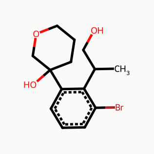 CC(CO)c1c(Br)cccc1C1(O)CCCOC1